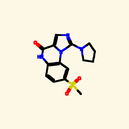 CS(=O)(=O)c1ccc2[nH]c(=O)c3cnc(N4CCCC4)n3c2c1